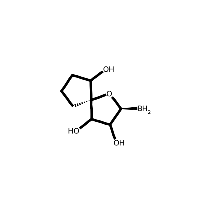 B[C@@H]1O[C@@]2(CCCC2O)C(O)C1O